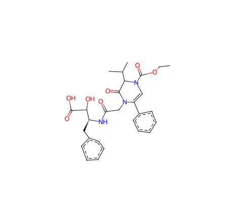 CCOC(=O)N1C=C(c2ccccc2)N(CC(=O)N[C@@H](Cc2ccccc2)C(O)C(=O)O)C(=O)C1C(C)C